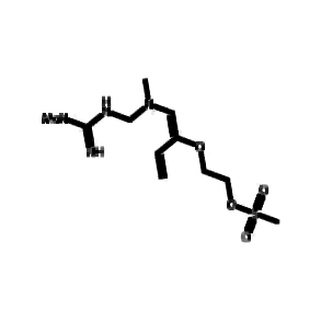 C=C/C(=C\N(C)CNC(=N)NC)OCCOS(C)(=O)=O